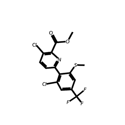 COC(=O)c1nc(-c2c(Cl)cc(C(F)(F)F)cc2SC)ccc1Cl